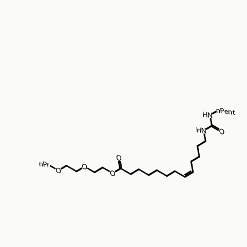 CCCCCNC(=O)NCCCC/C=C\CCCCCCC(=O)OCCOCCOCCC